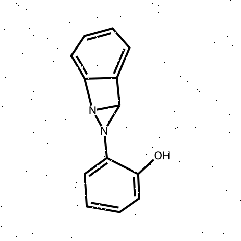 Oc1ccccc1N1C2c3ccccc3N21